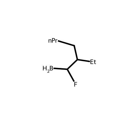 BC(F)C(CC)CCCC